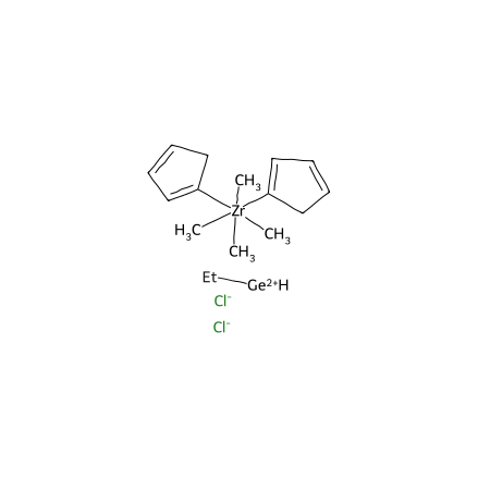 C[CH2][GeH+2].[CH3][Zr]([CH3])([CH3])([CH3])([C]1=CC=CC1)[C]1=CC=CC1.[Cl-].[Cl-]